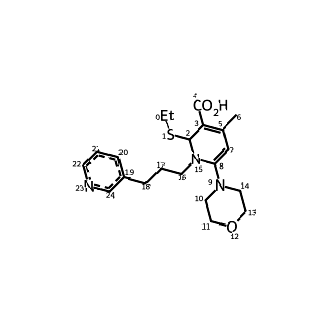 CCSC1C(C(=O)O)=C(C)C=C(N2CCOCC2)N1CCCc1cccnc1